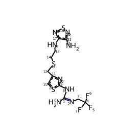 N/C(=N/CC(F)(F)F)Nc1nc(CSCCNc2nsnc2N)cs1